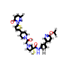 CS[C@@]1(C(=O)N[C]2=CC(c3ccc(OC(C)C)nc3)=[CH][InH]2)CCN(CC(=O)N2CC=C(c3ccc(-n4nc(C)ccc4=O)s3)CC2)C1